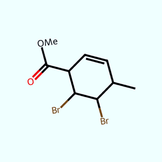 COC(=O)C1C=CC(C)C(Br)C1Br